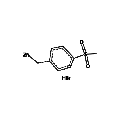 Br.CS(=O)(=O)c1ccc([CH2][Zn])cc1